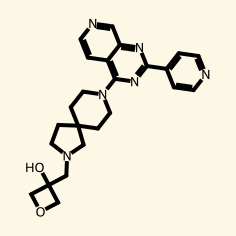 OC1(CN2CCC3(CCN(c4nc(-c5ccncc5)nc5cnccc45)CC3)C2)COC1